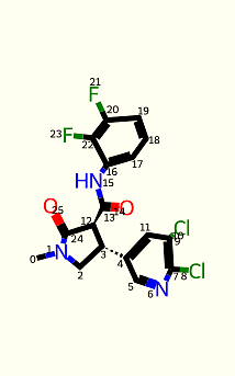 CN1C[C@@H](c2cnc(Cl)c(Cl)c2)[C@H](C(=O)Nc2cccc(F)c2F)C1=O